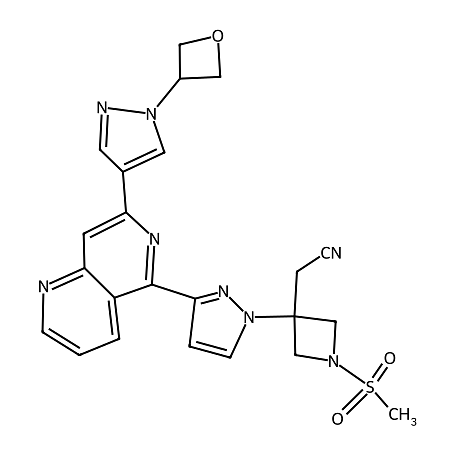 CS(=O)(=O)N1CC(CC#N)(n2ccc(-c3nc(-c4cnn(C5COC5)c4)cc4ncccc34)n2)C1